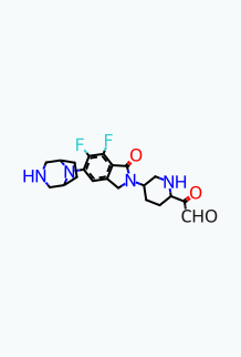 O=CC(=O)C1CCC(N2Cc3cc(N4C5CCC4CNC5)c(F)c(F)c3C2=O)CN1